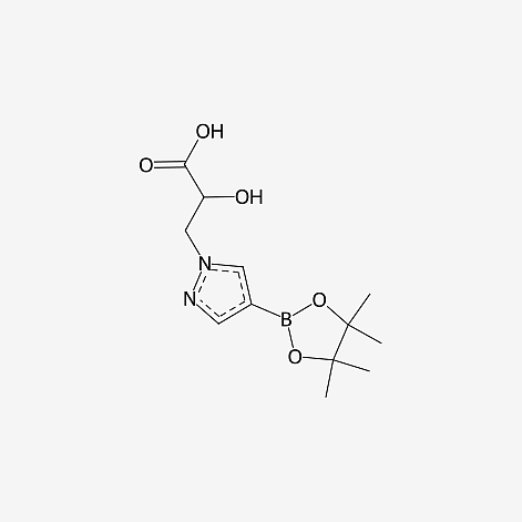 CC1(C)OB(c2cnn(CC(O)C(=O)O)c2)OC1(C)C